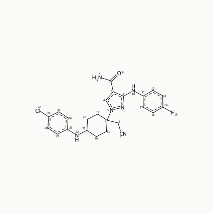 N#CCC1(n2cc(C(N)=O)c(Nc3ccc(F)cc3)n2)CCC(Nc2ccc(Cl)cc2)CC1